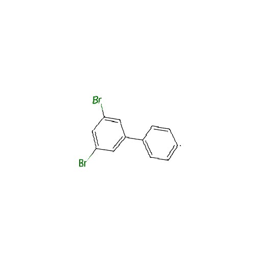 Brc1cc(Br)cc(-c2cc[c]cc2)c1